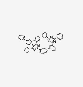 c1ccc(-c2cccc(-c3ccccc3-c3nc(-c4ccccc4)nc(-c4cccc(-c5cccc(-c6nc(-c7ccccc7)nc(-c7ccccc7)n6)c5)c4)n3)c2)cc1